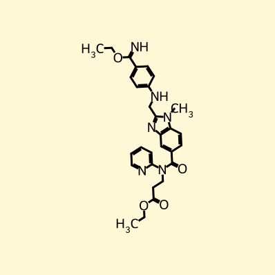 CCOC(=N)c1ccc(NCc2nc3cc(C(=O)N(CCC(=O)OCC)c4ccccn4)ccc3n2C)cc1